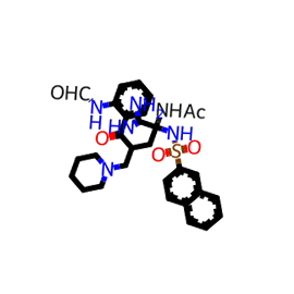 CC(=O)NC(CC(CN1CCCCC1)C(=O)c1ccccc1NC=O)(NS(=O)(=O)c1ccc2ccccc2c1)C(=N)N